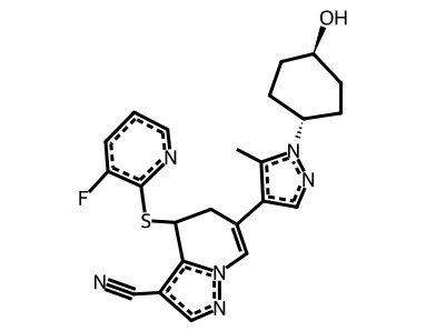 Cc1c(C2=Cn3ncc(C#N)c3C(Sc3ncccc3F)C2)cnn1[C@H]1CC[C@H](O)CC1